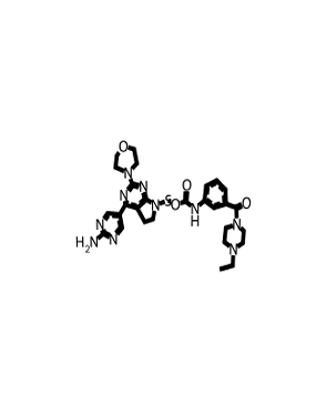 CCN1CCN(C(=O)c2cccc(NC(=O)OSN3CCc4c(-c5cnc(N)nc5)nc(N5CCOCC5)nc43)c2)CC1